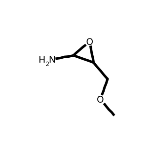 COCC1OC1N